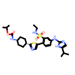 CCNS(=O)(=O)c1cc(Nc2ncc(C(C)C)[nH]2)ccc1-c1cnc([C@H]2CC[C@H](NC(=O)OC(C)C)CC2)s1